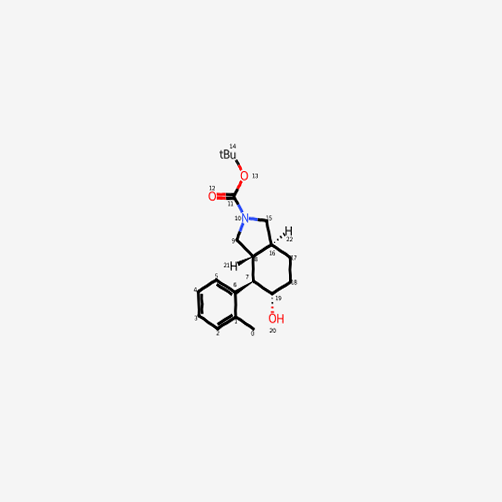 Cc1ccccc1[C@H]1[C@@H]2CN(C(=O)OC(C)(C)C)C[C@H]2CC[C@@H]1O